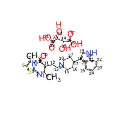 Cc1nc2scc(C)n2c(=O)c1CCN1CCC(c2c[nH]c3ccccc23)CC1.O=C(O)C(O)C(O)C(=O)O